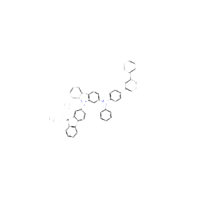 CC1(C)c2ccccc2-c2ccc(N3c4cc(N(c5ccccc5)c5ccc(C6=CCCC(C7=CC=CCC7)=C6)cc5)ccc4C4=CC=CCC43)cc21